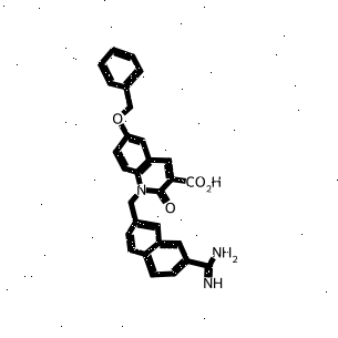 N=C(N)c1ccc2ccc(Cn3c(=O)c(C(=O)O)cc4cc(OCc5ccccc5)ccc43)cc2c1